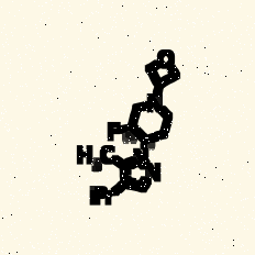 Cc1c(C(C)C)cnn1[C@H]1CCN(C2COC2)C[C@@H]1F